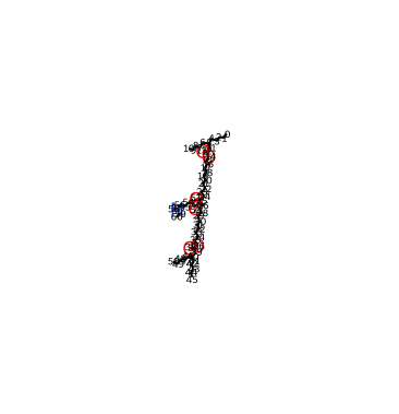 CCCCCC(CCCCC)CC(=O)OCCCCCCCCCCC(CCCCCCCCCCOC(=O)CC(CCCCC)CCCCC)OC(=O)CCCN(C)CC